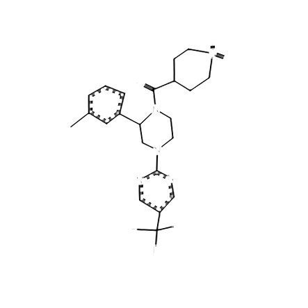 Cc1cccc(C2CN(c3ncc(C(F)(F)F)cn3)CCN2C(=O)C2CCS(=O)(=O)CC2)c1